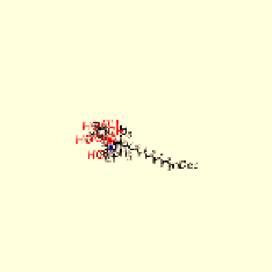 CCCCCCCCCCCCCCCCCCCCCCCC(C)C(=O)N(C)[C@@H](COC1OC(CO)C(O)C(O)C1O)[C@H](O)CC